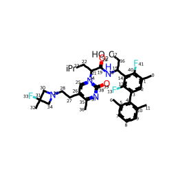 Cc1cc(-c2c(C)cccc2C)c(F)c(C(CC(=O)O)NC(=O)C(CC(C)C)n2cc(CCN3CC(C)(F)C3)c(C)nc2=O)c1F